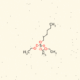 CCCCCC[O][Ti]([O]C)([O]OCC)[O]OCC